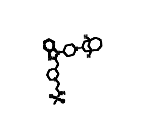 CS(=O)(=O)NCCN1CCC[C@@H](Cc2nc3ccccc3n2C2CCN([C@@H]3C[C@@H]4CCCC[C@@H](C4)C3)CC2)C1